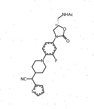 CC(=O)NC[C@H]1CN(c2ccc(N3CCC(C(C#N)c4cccs4)CC3)c(F)c2)C(=O)O1